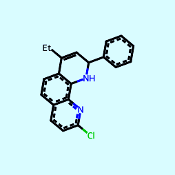 CCC1=CC(c2ccccc2)Nc2c1ccc1ccc(Cl)nc21